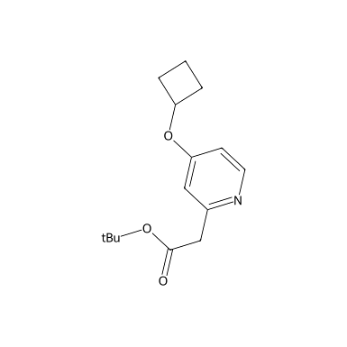 CC(C)(C)OC(=O)Cc1cc(OC2CCC2)ccn1